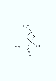 COC(=O)C1(C)CC(C)C1